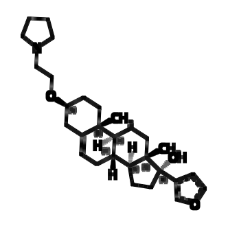 C[C@]12CC[C@H](OCCN3CCCC3)CC1=CC[C@@H]1[C@@H]2CC[C@@]2(C)[C@H]1CC[C@]2(O)c1ccoc1